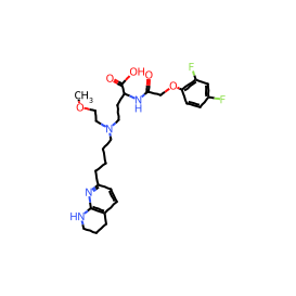 COCCN(CCCCc1ccc2c(n1)NCCC2)CCC(NC(=O)COc1ccc(F)cc1F)C(=O)O